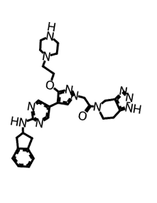 O=C(Cn1cc(-c2cnc(NC3Cc4ccccc4C3)nc2)c(OCCN2CCNCC2)n1)N1CCc2[nH]nnc2C1